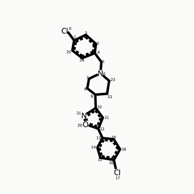 Clc1ccc(CN2CCC(c3cc(-c4ccc(Cl)cc4)on3)CC2)cc1